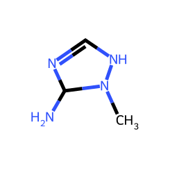 CN1NC=NC1N